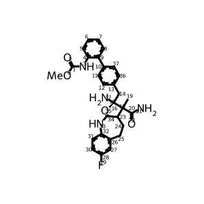 COC(=O)Nc1ccccc1-c1ccc(C[C@@](C)(N)C(C)(C(N)=O)C2CCc3cc(F)ccc3NC2=O)cc1